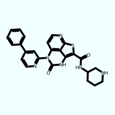 O=C(NC1CCCNC1)c1sc2nccc3c2c1NC(=O)N3c1cc(-c2ccccc2)ccn1